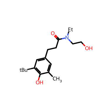 CCN(CCO)C(=O)CCc1cc(C)c(O)c(C(C)(C)C)c1